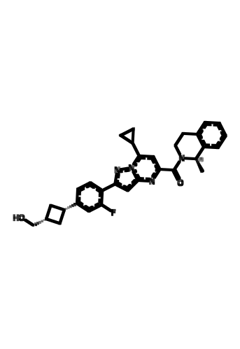 C[C@@H]1c2ccccc2CCN1C(=O)c1cc(C2CC2)n2nc(-c3ccc([C@H]4C[C@@H](CO)C4)cc3F)cc2n1